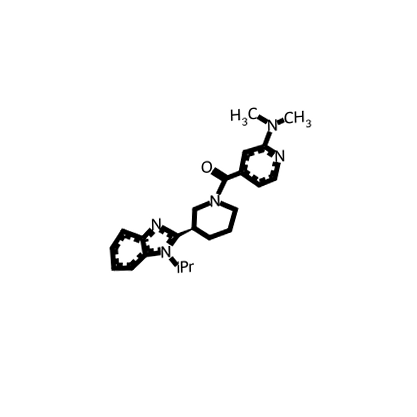 CC(C)n1c([C@@H]2CCCN(C(=O)c3ccnc(N(C)C)c3)C2)nc2ccccc21